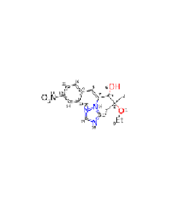 CCOC(C)(C)C(O)C(=Cc1ccc([N+](=O)[O-])cc1)n1cncn1